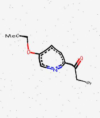 COCOc1ccc(C(=O)CC(C)C)nc1